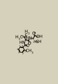 Cc1ccccc1C(=O)N[C@H](C(=O)N[C@@H](CS)C(=O)O)C(C)C